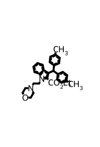 CCOC(=O)c1c(C(c2ccc(C)cc2)c2ccc(C)cc2)c2ccccc2n1CCN1CCOCC1